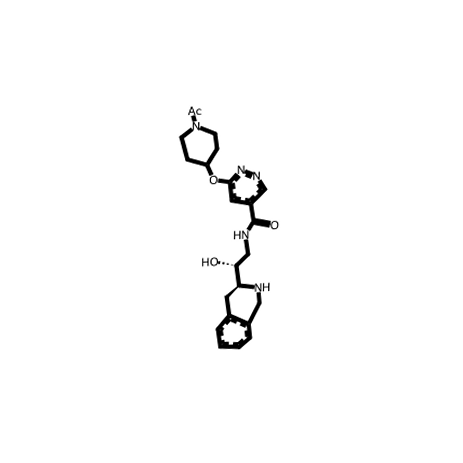 CC(=O)N1CCC(Oc2cc(C(=O)NC[C@@H](O)[C@@H]3Cc4ccccc4CN3)cnn2)CC1